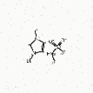 CCN1C=CN(C)C1.O=S(=O)(F)NF